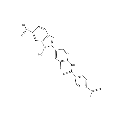 CC(=O)c1ccc(C(=O)Nc2ccc(-c3nc4ccc([N+](=O)O)cc4n3O)cc2F)cc1